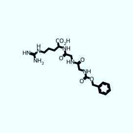 N=C(N)NCCCC(NC(=O)CNC(=O)CNC(=O)OCc1ccccc1)C(=O)O